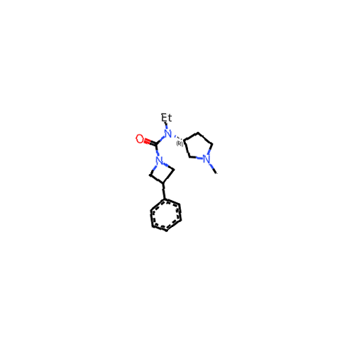 CCN(C(=O)N1CC(c2ccccc2)C1)[C@@H]1CCN(C)C1